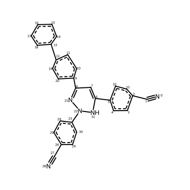 N#Cc1ccc(C2=CC(c3ccc(-c4ccccc4)cc3)=NN(c3ccc(C#N)cc3)N2)cc1